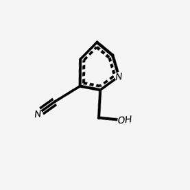 N#Cc1cccnc1CO